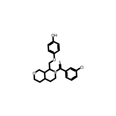 Oc1ccc(OCC2C3COCCC3CCN2C(=S)c2cccc(Cl)c2)cc1